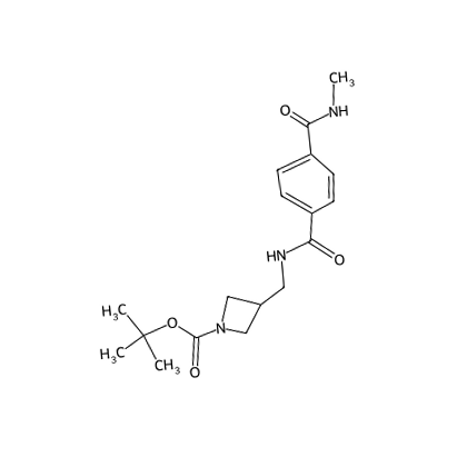 CNC(=O)c1ccc(C(=O)NCC2CN(C(=O)OC(C)(C)C)C2)cc1